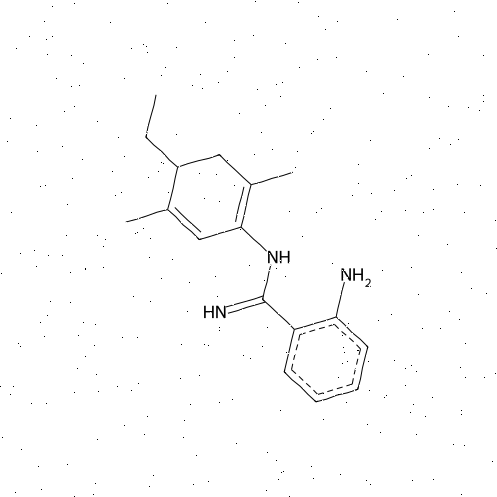 CCC1CC(C)=C(NC(=N)c2ccccc2N)C=C1C